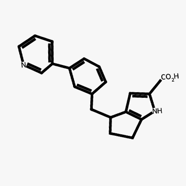 O=C(O)c1cc2c([nH]1)CCC2Cc1cccc(-c2cccnc2)c1